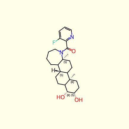 C[C@]12CC[C@H](O)[C@H](O)C1CC[C@H]1C2CC[C@@]2(C)C1CCCCN2C(=O)c1ncccc1F